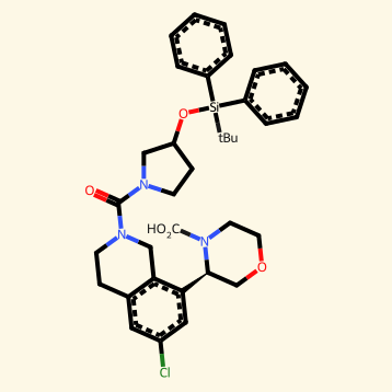 CC(C)(C)[Si](OC1CCN(C(=O)N2CCc3cc(Cl)cc([C@@H]4COCCN4C(=O)O)c3C2)C1)(c1ccccc1)c1ccccc1